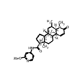 COc1cc(NC(=O)[C@H]2CC[C@H]3[C@@H]4CC(C)[C@H]5N(C)C(=O)C=C[C@]5(C)[C@H]4CC[C@]23C)ccn1